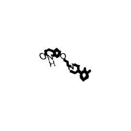 Cc1cccc(C2CCN(CCCOc3ccc4c(c3)NC(=O)CC4)CC2)c1C